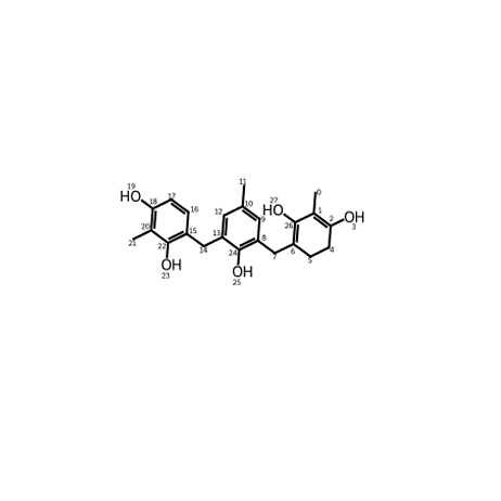 CC1=C(O)CCC(Cc2cc(C)cc(Cc3ccc(O)c(C)c3O)c2O)=C1O